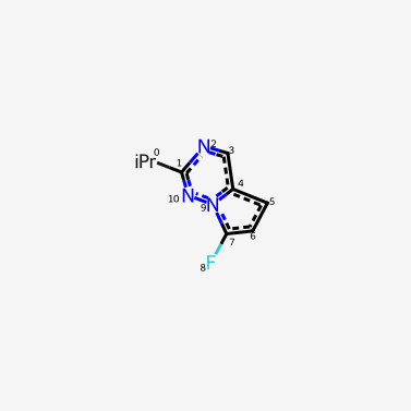 CC(C)c1ncc2ccc(F)n2n1